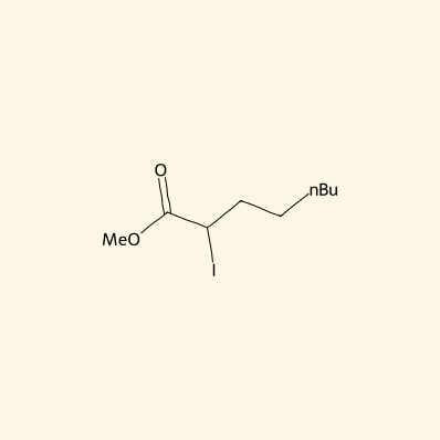 CCCCCCC(I)C(=O)OC